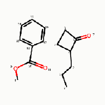 CCCC1CCC1=O.COC(=O)c1ccccc1